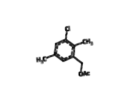 CC(=O)OCc1cc(C)cc(Cl)c1C